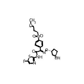 COCCCS(=O)(=O)c1ccc(/C(=N\O[C@@H]2CC[C@@H](O)C2)C(=O)Nc2ncc(F)s2)cc1